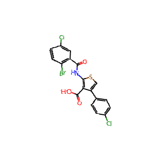 O=C(Nc1scc(-c2ccc(Cl)cc2)c1C(=O)O)c1cc(Cl)ccc1Br